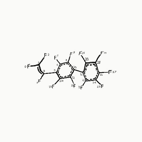 FC(F)=C(F)c1c(F)c(F)c(-c2c(F)c(F)c(F)c(F)c2F)c(F)c1F